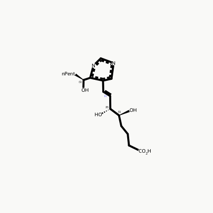 CCCCC[C@H](O)c1ncncc1/C=C/[C@@H](O)[C@@H](O)CCCC(=O)O